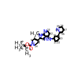 Cn1c(C2=CCN(C(=O)OC(C)(C)C)CC2)cc2c(Nc3cccc(-c4ccccn4)c3)ccnc21